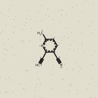 C#Cc1nc(C)ccc1C#N